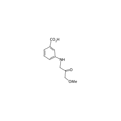 COCC(=O)CNc1cccc(C(=O)O)c1